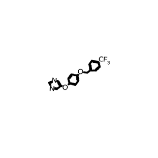 FC(F)(F)c1ccc(COc2ccc(Oc3cncnc3)cc2)cc1